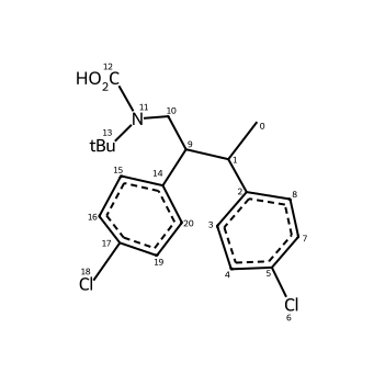 CC(c1ccc(Cl)cc1)C(CN(C(=O)O)C(C)(C)C)c1ccc(Cl)cc1